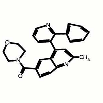 Cc1cc(-c2cccnc2-c2ccccc2)c2cc(C(=O)N3CCOCC3)ccc2n1